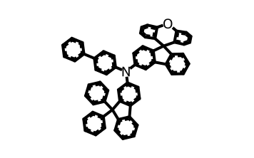 c1ccc(-c2ccc(N(c3ccc4c(c3)-c3ccccc3C43c4ccccc4Oc4ccccc43)c3ccc4c(c3)C(c3ccccc3)(c3ccccc3)c3ccccc3-4)cc2)cc1